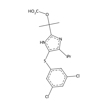 CC(C)c1nc(C(C)(C)OC(=O)O)[nH]c1Sc1cc(Cl)cc(Cl)c1